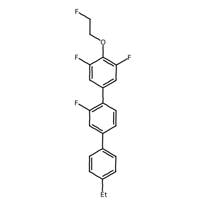 CCc1ccc(-c2ccc(-c3cc(F)c(OCCF)c(F)c3)c(F)c2)cc1